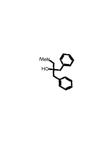 CNCC(O)(Cc1ccccc1)Cc1ccccc1